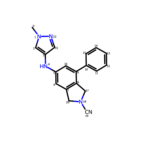 Cn1cc(Nc2cc3c(c(-c4ccccc4)c2)CN(C#N)C3)cn1